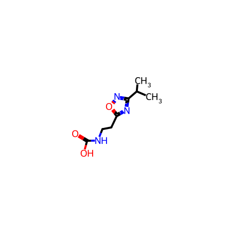 CC(C)c1noc(CCNC(=O)O)n1